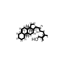 CC(CO)=C(C)CC[C@@H](C)[C@H]1CC[C@H]2[C@@H]3CC=C4CCCC[C@]4(C)[C@H]3CC[C@]12C